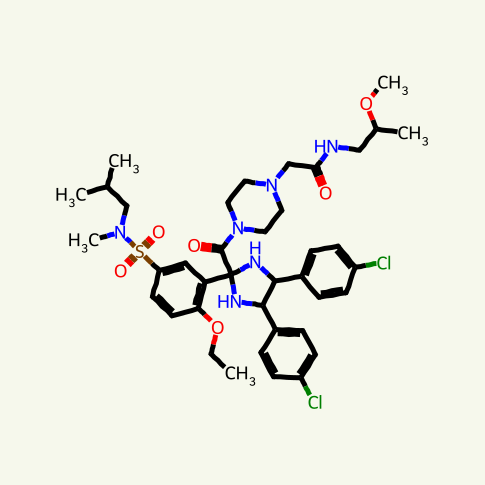 CCOc1ccc(S(=O)(=O)N(C)CC(C)C)cc1C1(C(=O)N2CCN(CC(=O)NCC(C)OC)CC2)NC(c2ccc(Cl)cc2)C(c2ccc(Cl)cc2)N1